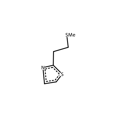 CSCCc1nccs1